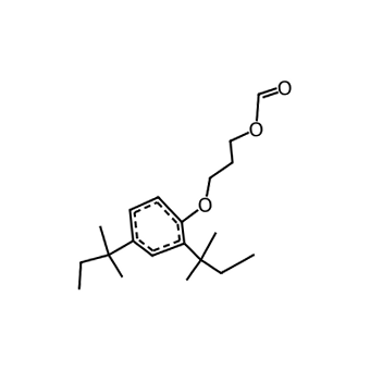 CCC(C)(C)c1ccc(OCCCOC=O)c(C(C)(C)CC)c1